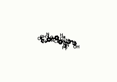 Cc1c(Nc2nc(C(F)F)nc3cc(CN4CC[C@@H](O)C4)cnc23)cccc1-c1cccc(-c2nc3cc(CN4CCC(C(=O)O)C4)cc(C#N)c3o2)c1C